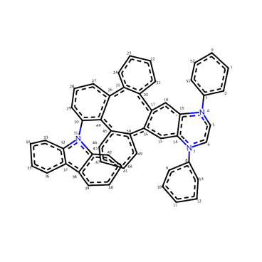 c1ccc(-n2ccn(-c3ccccc3)c3cc4c(cc32)c2ccccc2c2cccc(-n3c5ccccc5c5ccccc53)c2c2ccccc42)cc1